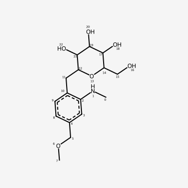 CNc1cc(COC)ccc1CC1OC(CO)C(O)C(O)C1O